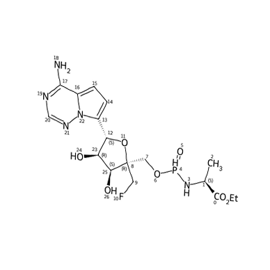 CCOC(=O)[C@H](C)N[PH](=O)OC[C@@]1(CF)O[C@@H](c2ccc3c(N)ncnn23)[C@H](O)[C@@H]1O